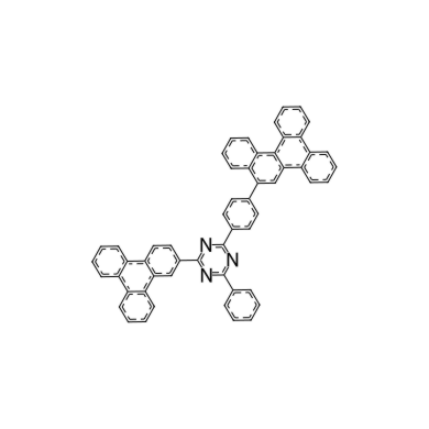 c1ccc(-c2nc(-c3ccc(-c4cc5c6ccccc6c6ccccc6c5c5ccccc45)cc3)nc(-c3ccc4c5ccccc5c5ccccc5c4c3)n2)cc1